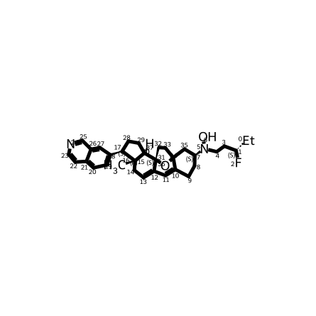 CC[C@H](F)CCN(O)[C@H]1CCC2=CC3=CC[C@]4(C)[C@@H](c5ccc6ccncc6c5)CC[C@H]4[C@@]34CCC2(C1)O4